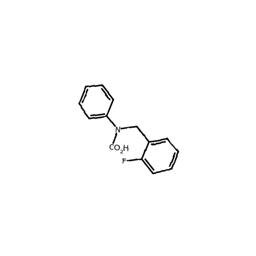 O=C(O)N(Cc1ccccc1F)c1ccccc1